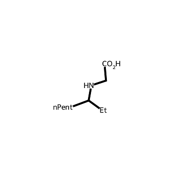 CCCCCC(CC)NCC(=O)O